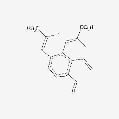 C=Cc1ccc(C=C(C)C(=O)O)c(C=C(C)C(=O)O)c1C=C